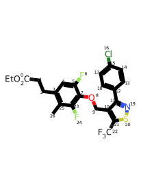 CCOC(=O)CCc1cc(F)c(OCc2c(-c3ccc(Cl)cc3)nsc2C(F)(F)F)c(F)c1C